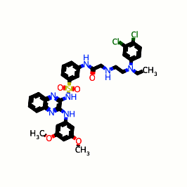 CCN(CCNCC(=O)Nc1cccc(S(=O)(=O)Nc2nc3ccccc3nc2Nc2cc(OC)cc(OC)c2)c1)c1ccc(Cl)c(Cl)c1